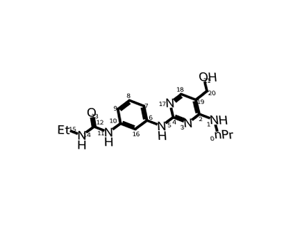 [CH2]CCNc1nc(Nc2cccc(NC(=O)NCC)c2)ncc1CO